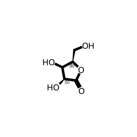 O=C1O[C@H](CO)C(O)[C@@H]1O